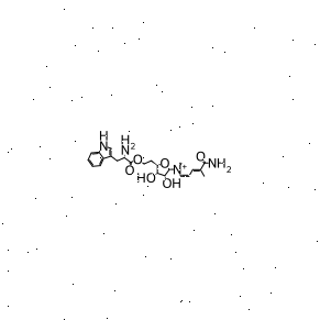 C=[N+](/C=C\C=C(/C)C(N)=O)[C@@H]1O[C@H](CCOC(=O)[C@@H](N)Cc2c[nH]c3ccccc23)[C@@H](O)[C@H]1O